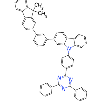 CC1(C)c2ccccc2-c2ccc(-c3cccc(-c4ccc5c6ccccc6n(-c6ccc(-c7nc(-c8ccccc8)nc(-c8ccccc8)n7)cc6)c5c4)c3)cc21